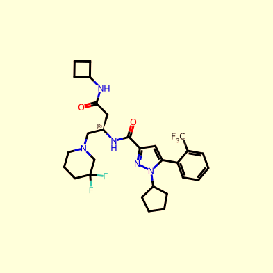 O=C(C[C@H](CN1CCCC(F)(F)C1)NC(=O)c1cc(-c2ccccc2C(F)(F)F)n(C2CCCC2)n1)NC1CCC1